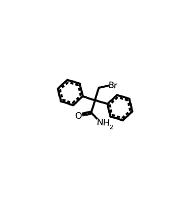 NC(=O)C(CBr)(c1ccccc1)c1ccccc1